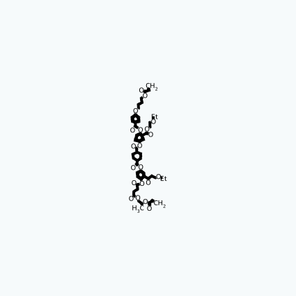 C=CC(=O)OCCCCOc1ccc(C(=O)Oc2ccc(OC(=O)C3CCC(C(=O)Oc4ccc(OC(=O)CCC(=O)OCC(C)OC(=O)C=C)c(C(=O)CCOCC)c4)CC3)cc2C(=O)OCCOCC)cc1